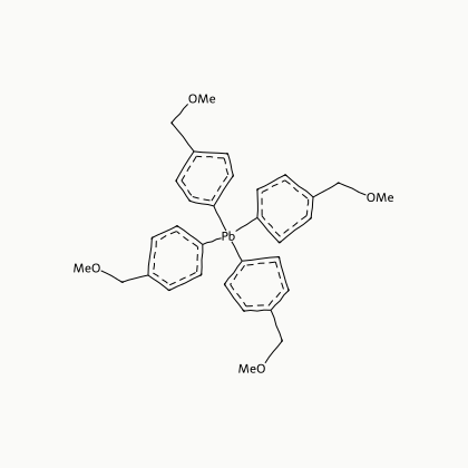 COCc1cc[c]([Pb]([c]2ccc(COC)cc2)([c]2ccc(COC)cc2)[c]2ccc(COC)cc2)cc1